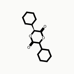 O=C1O[C@@H](C2CCCCC2)C(=O)OC1C1CCCCC1